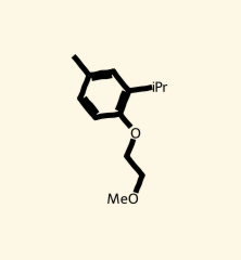 COCCOc1ccc(C)cc1C(C)C